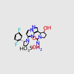 NC(=O)N1CCC(O)C1c1cnn2ccc(N3CCC[C@@H]3c3cc(F)ccc3F)nc12.O=S(=O)(O)O